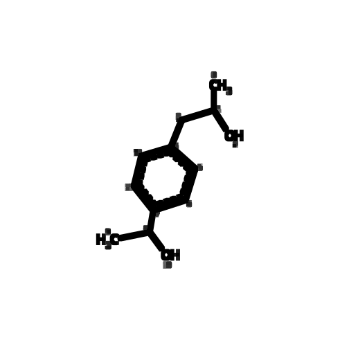 CC(O)[CH]c1ccc(C(C)O)cc1